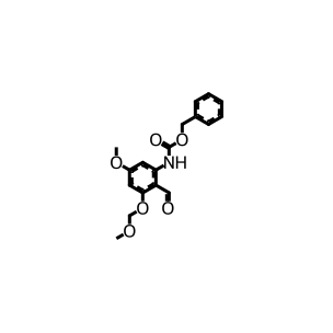 COCOc1cc(OC)cc(NC(=O)OCc2ccccc2)c1C=O